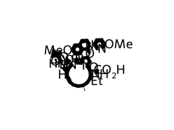 CC[C@@H]1C[C@H](C)CCC=C[C@@H]2C[C@@]2(C(=O)NS(=O)(=O)C2(C)CC2)NC(=O)[C@@H]2C[C@@H](OC3c4ccc(OC)cc4C=CN3c3ccc(OC)nc3)CN2C(=O)[C@H]1NC(=O)O